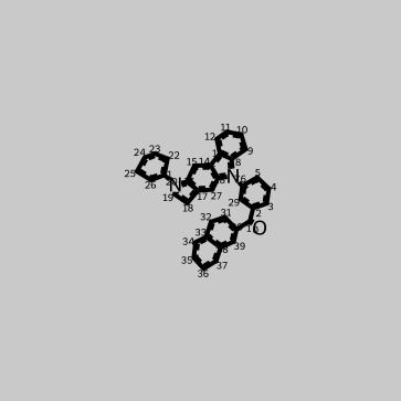 O=C(c1cccc(-n2c3ccccc3c3cc4c(ccn4-c4ccccc4)cc32)c1)c1ccc2ccccc2c1